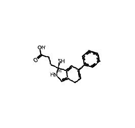 O=C(O)CC[C@@]1(S)NC=C2CC=C(c3ccccc3)C=C21